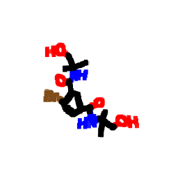 CC(C)(CO)NC(=O)c1ccc(Br)c(C(=O)NC(C)(C)CO)c1